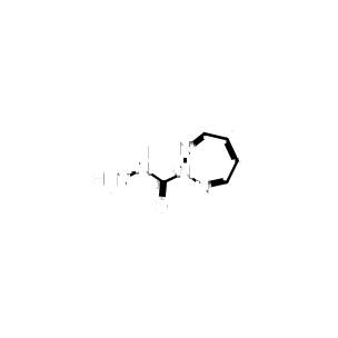 NNC(=O)N1N=CC=CC=N1